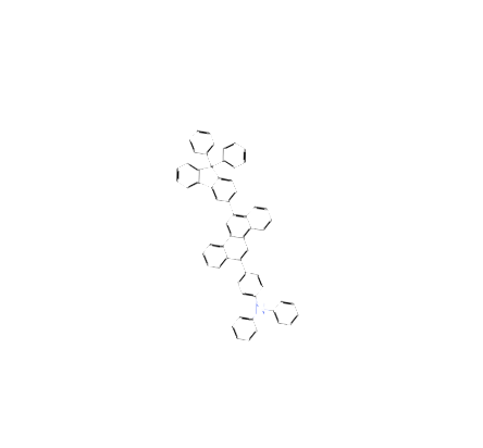 c1ccc(N(c2ccccc2)c2ccc(-c3cc4c5ccccc5c(-c5ccc6c(c5)-c5ccccc5C6(c5ccccc5)c5ccccc5)cc4c4ccccc34)cc2)cc1